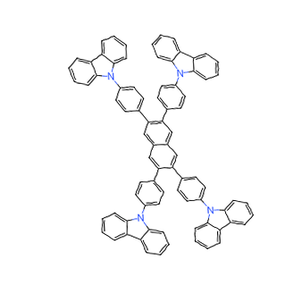 c1ccc2c(c1)c1ccccc1n2-c1ccc(-c2cc3cc(-c4ccc(-n5c6ccccc6c6ccccc65)cc4)c(-c4ccc(-n5c6ccccc6c6ccccc65)cc4)cc3cc2-c2ccc(-n3c4ccccc4c4ccccc43)cc2)cc1